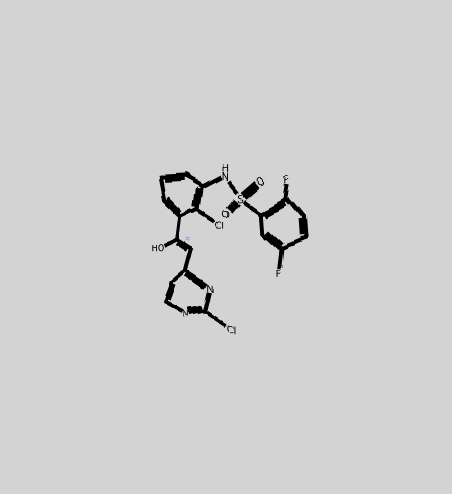 O=S(=O)(Nc1cccc(/C(O)=C/c2ccnc(Cl)n2)c1Cl)c1cc(F)ccc1F